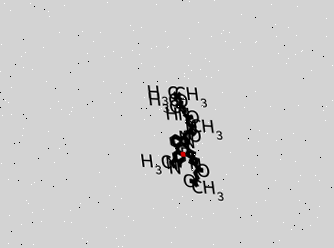 CC(=O)CCC(=O)N1CC2(CC(c3nn(CC(=O)N(C)CC(=O)NCC(=O)OC(C)(C)C)c4cccc(-c5cc6c(cnn6C)cc5F)c34)C2)C1